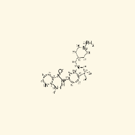 CNc1ncccc1C(=O)Nc1ccc2c(c1)N(CC1CCN(P)CC1)CC2(C)C